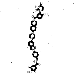 Cc1ccc(C(=O)N2CCC3(CCC(N4CCN(c5ccc6cn(C7CCC(CNC(=O)c8cc(F)c(O)c(F)c8)CC7)nc6c5)CC4)CC3)CC2)cc1N1CCC(=O)NC1=O